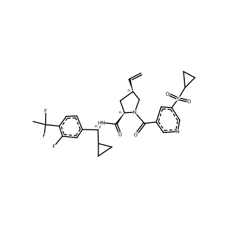 C=C[C@@H]1C[C@H](C(=O)N[C@@H](c2ccc(C(C)(F)F)c(F)c2)C2CC2)N(C(=O)c2cncc(S(=O)(=O)C3CC3)c2)C1